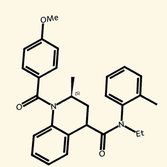 CCN(C(=O)C1C[C@H](C)N(C(=O)c2ccc(OC)cc2)c2ccccc21)c1ccccc1C